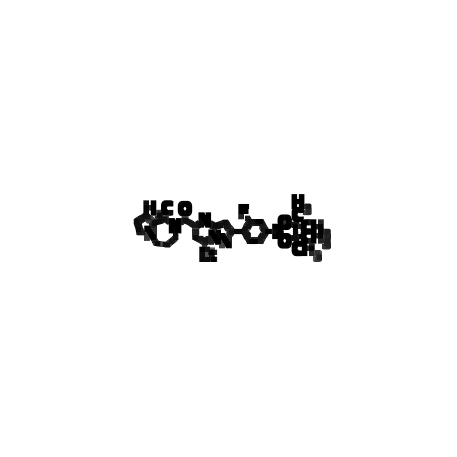 CCc1cc(C(=O)N2CCCn3cccc3C2C)nc2cc(-c3ccc(B4OC(C)(C)C(C)(C)O4)cc3F)nn12